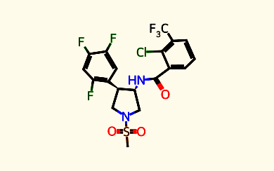 CS(=O)(=O)N1C[C@@H](NC(=O)c2cccc(C(F)(F)F)c2Cl)[C@H](c2cc(F)c(F)cc2F)C1